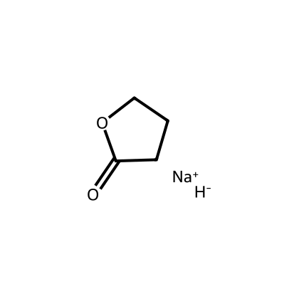 O=C1CCCO1.[H-].[Na+]